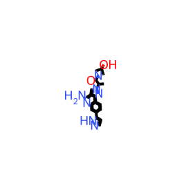 CC(C(=O)N1CC(O)C1)n1cc2c(N)nc3cc(-c4ccn[nH]4)ccc3c2n1